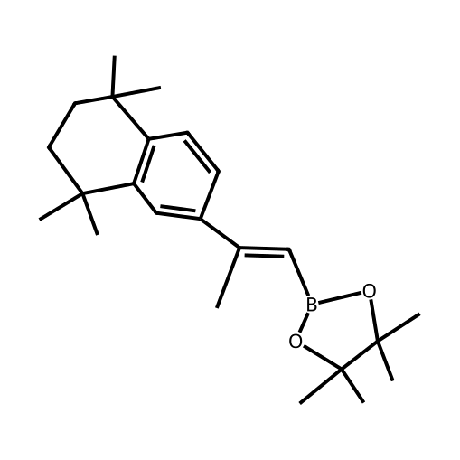 CC(=CB1OC(C)(C)C(C)(C)O1)c1ccc2c(c1)C(C)(C)CCC2(C)C